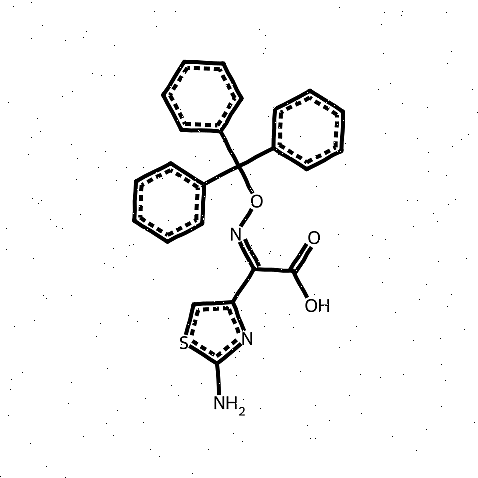 Nc1nc(C(=NOC(c2ccccc2)(c2ccccc2)c2ccccc2)C(=O)O)cs1